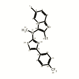 CCc1nc2ccc(I)cn2c1N(C)c1nc(-c2ccc(C(F)(F)F)cc2)cs1